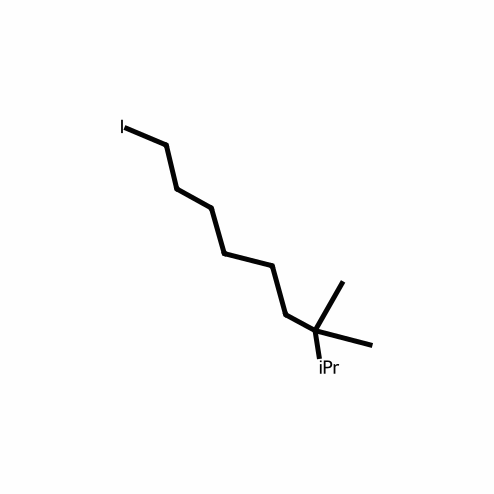 CC(C)C(C)(C)CCCCCCI